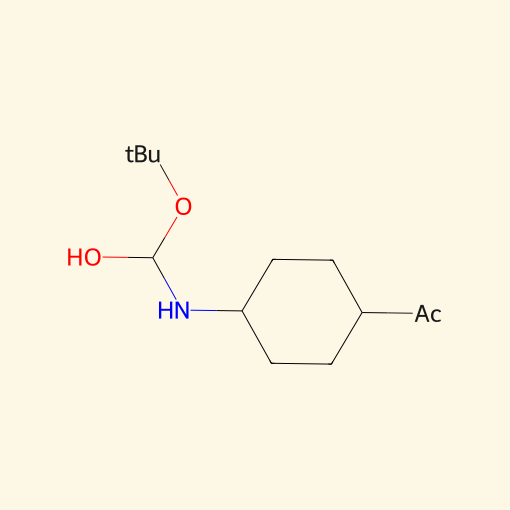 CC(=O)C1CCC(NC(O)OC(C)(C)C)CC1